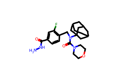 NNC(=O)c1ccc(CN(C(=O)N2CCOCC2)C23CC4CC(CC(C4)C2)C3)c(F)c1